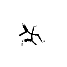 CC(=O)C(O)([CH]O)C(C)=O.[Ti]